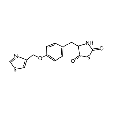 O=C1NC(Cc2ccc(OCc3cscn3)cc2)C(=O)S1